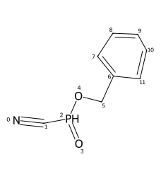 N#C[PH](=O)OCc1ccccc1